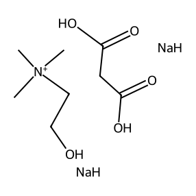 C[N+](C)(C)CCO.O=C(O)CC(=O)O.[NaH].[NaH]